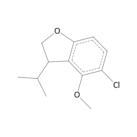 COc1c(Cl)ccc2c1C(C(C)C)CO2